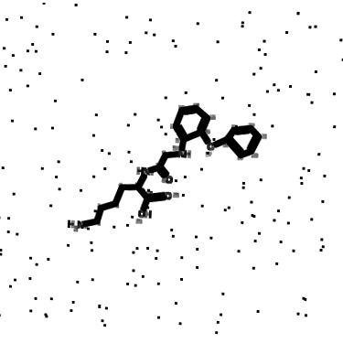 NCCCCC(NC(=O)CNc1ccccc1Oc1ccccc1)C(=O)O